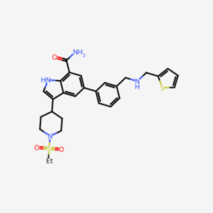 CCS(=O)(=O)N1CCC(c2c[nH]c3c(C(N)=O)cc(-c4cccc(CNCc5cccs5)c4)cc23)CC1